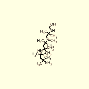 CN(CC(C)(C)NCO)C(C)(C)CC(C)(N)NC(C)(C)CC(C)(C)N